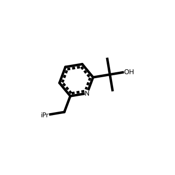 CC(C)Cc1cccc(C(C)(C)O)n1